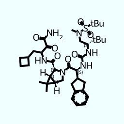 CN(C[C@@H](NC(=O)N[C@H](C(=O)N1C[C@H]2[C@@H]([C@H]1C(=O)NC(CC1CCC1)C(=O)C(N)=O)C2(C)C)C1Cc2ccccc2C1)C(C)(C)C)S(=O)(=O)C(C)(C)C